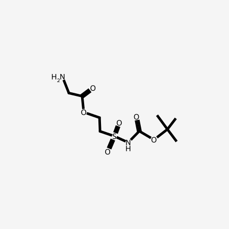 CC(C)(C)OC(=O)NS(=O)(=O)CCOC(=O)CN